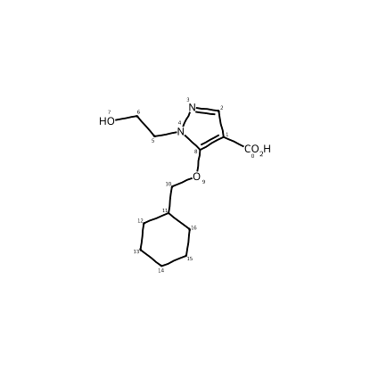 O=C(O)c1cnn(CCO)c1OCC1CCCCC1